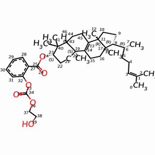 CC(C)=CCC[C@@H](C)[C@H]1CC[C@@]2(C)C3=C(CC[C@]12C)[C@@]1(C)CC[C@H](OC(=O)c2ccccc2OC(=O)OCCO)C(C)(C)[C@@H]1CC3